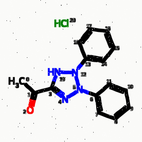 CC(=O)C1=NN(c2ccccc2)N(c2ccccc2)N1.Cl